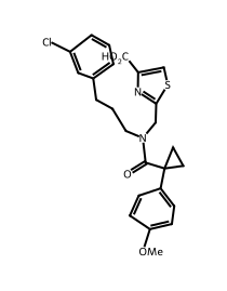 COc1ccc(C2(C(=O)N(CCCc3cccc(Cl)c3)Cc3nc(C(=O)O)cs3)CC2)cc1